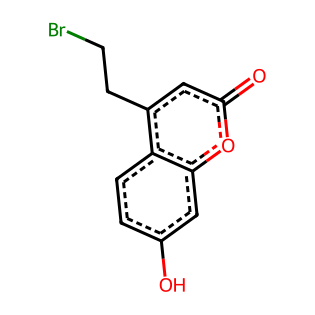 O=c1cc(CCBr)c2ccc(O)cc2o1